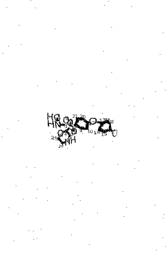 O=C(NO)[C@]1(S(=O)(=O)c2ccc(Oc3ccc(Cl)cc3)cc2)CNCCO1